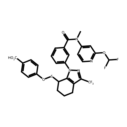 CN(C(=O)c1cccc(-n2nc(C(F)(F)F)c3c2C(SOc2ccc(C(=O)O)cc2)CCC3)c1)c1ccnc(OC(F)F)c1